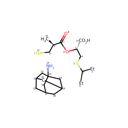 CCC(CC)SC[C@H](OC(=O)[C@H](C)CS)C(=O)O.NC12CC3CC(CC(C3)C1)C2